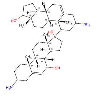 C[C@]12CCC(N)CC1=CC(O)[C@@H]1[C@H]2CC[C@@]2(C)[C@H]1CCC2(O)C1CC(N)CC2=CC[C@@H]3[C@@H](CC[C@]4(C)C(O)CC[C@@H]34)[C@]21C